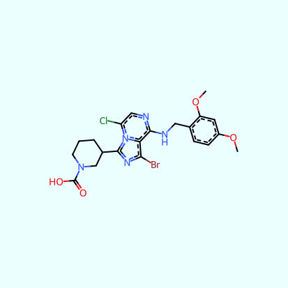 COc1ccc(CNc2ncc(Cl)n3c(C4CCCN(C(=O)O)C4)nc(Br)c23)c(OC)c1